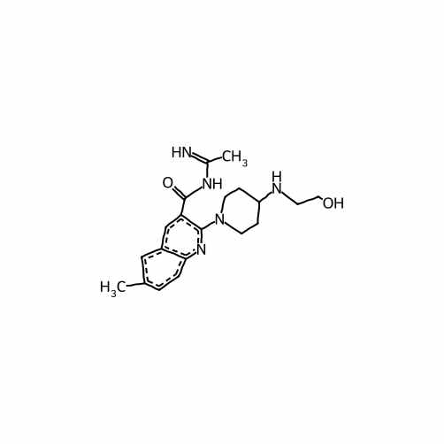 CC(=N)NC(=O)c1cc2cc(C)ccc2nc1N1CCC(NCCO)CC1